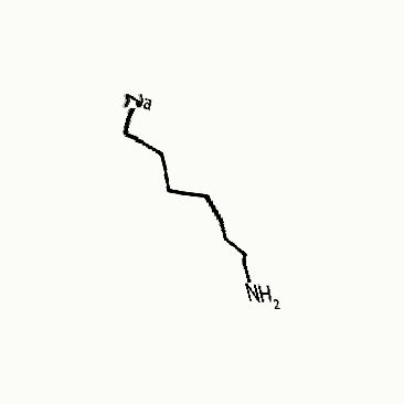 NCCCCC[CH2][Na]